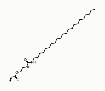 C=CC(=O)OCCNC(=O)NCCCCCCCCCCCCCCCCCCCCCC